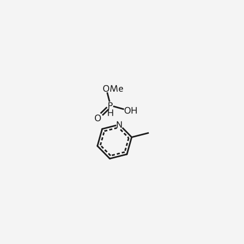 CO[PH](=O)O.Cc1ccccn1